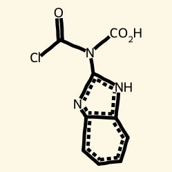 O=C(O)N(C(=O)Cl)c1nc2ccccc2[nH]1